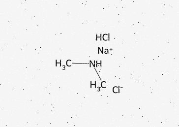 CNC.Cl.[Cl-].[Na+]